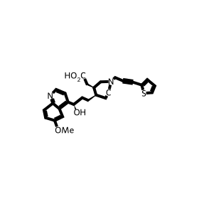 COc1ccc2nccc([C@@H](O)CC[C@@H]3CCN(CC#Cc4cccs4)C[C@@H]3CC(=O)O)c2c1